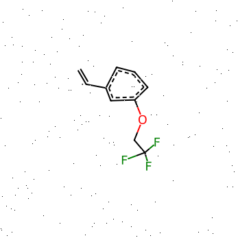 C=[C]c1cccc(OCC(F)(F)F)c1